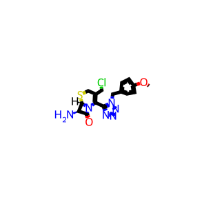 COc1ccc(Cn2nnnc2C2=C(CCl)CS[C@@H]3[C@H](N)C(=O)N23)cc1